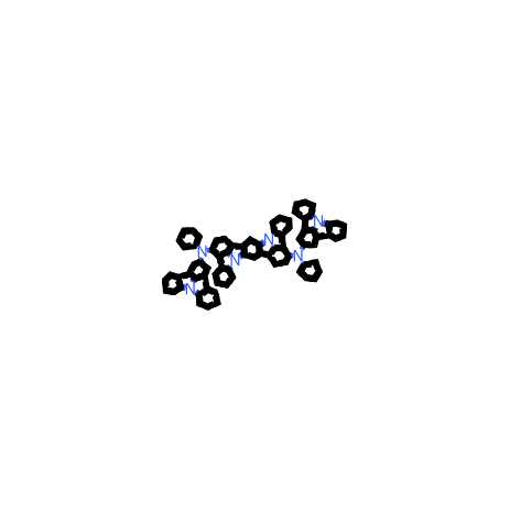 c1ccc(N(c2cc3c4ccccc4n4c5ccccc5c(c2)c34)c2ccc3c4cc5c(cc4n4c6ccccc6c2c34)c2ccc(N(c3ccccc3)c3cc4c6ccccc6n6c7ccccc7c(c3)c46)c3c4ccccc4n5c23)cc1